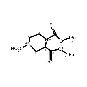 CC(C)(C)OC(=O)C1CN(C(=O)O)CCN1C(=O)OC(C)(C)C